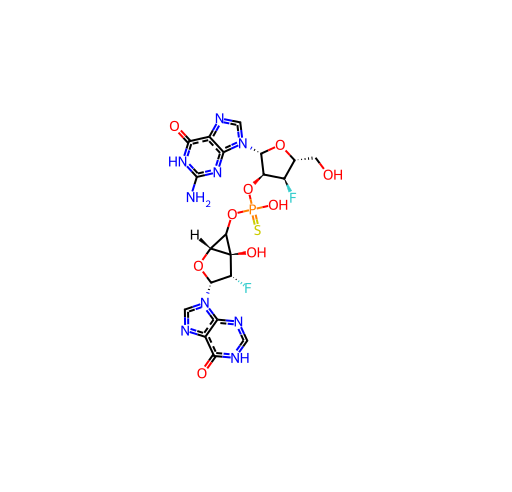 Nc1nc2c(ncn2[C@@H]2O[C@H](CO)[C@@H](F)[C@H]2OP(O)(=S)OC2[C@H]3O[C@@H](n4cnc5c(=O)[nH]cnc54)[C@@H](F)[C@@]23O)c(=O)[nH]1